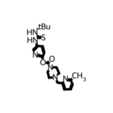 Cc1cccc(CN2CCN(C(=O)Oc3ccc(NC(=S)NC(C)(C)C)cn3)CC2)n1